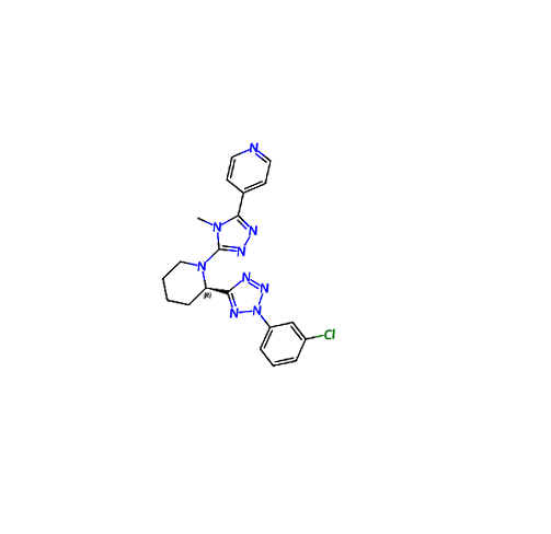 Cn1c(-c2ccncc2)nnc1N1CCCC[C@@H]1c1nnn(-c2cccc(Cl)c2)n1